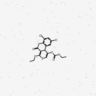 CCOC(=O)OC1=CSC(OCC)=C2C(=O)Oc3c(Cl)cc(Cl)cc3C12